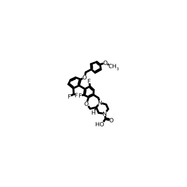 COc1ccc(COc2cccc(C(F)F)c2-c2c(F)cc3c(c2F)OC[C@H]2CN(C(=O)O)CCN2C3)cc1